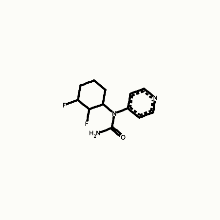 NC(=O)N(c1ccncc1)C1CCCC(F)C1F